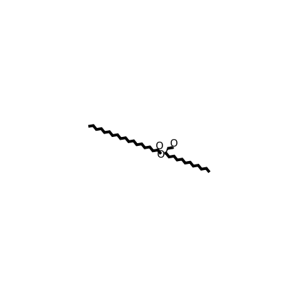 CCCCCCCCCCCCCCCCCC(=O)O[C@@H](CC=O)CCCCCCCCCCC